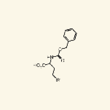 O=C(N[C@@H](CCBr)C(=O)O)OCc1ccccc1